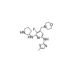 Cc1cnc(Nc2cc(CN3CCOCC3)c(F)c(NC3CCCNC3)n2)s1